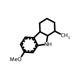 COc1ccc2c(c1)NC1C(C)CCCC21